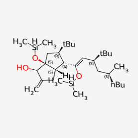 C=C1C[C@H]2[C@@H](C(=C[C@H](C[C@@H](C)CCCC)C(C)(C)C)O[SiH](C)C)[C@H](C(C)(C)C)C[C@@]2(O[SiH](C)C)C1O